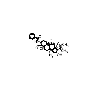 CC([C@H]1[C@H](O)C[C@@]2(C)C3CCC4C5(CC[C@H](NC(=O)c6ccccc6)[C@@]4(C)CO)CC35C(=O)C[C@]12C)N(C)C